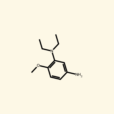 CCN(CC)c1cc(N)ccc1OC